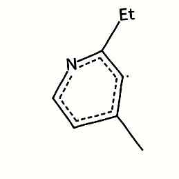 CCc1[c]c(C)ccn1